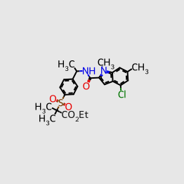 CCOC(=O)C(C)(C)S(=O)(=O)c1ccc(C(C)NC(=O)c2cc3c(Cl)cc(C)cc3n2C)cc1